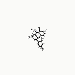 C/C(=C1/CCCNC1=O)c1cc(Cl)cc(-c2ccc(Cl)cc2F)c1C